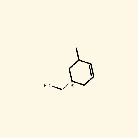 CC1C=CC[C@H](CC(F)(F)F)C1